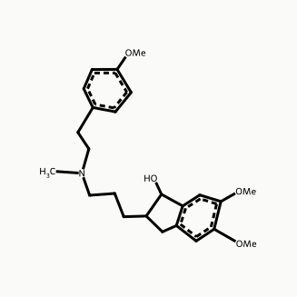 COc1ccc(CCN(C)CCCC2Cc3cc(OC)c(OC)cc3C2O)cc1